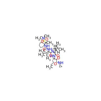 CCCC[C@H](NC(=O)[C@@H]1[C@@H]2[C@H](CN1C(=O)[C@@H](NC(=O)NC1([C@@H](C)S(=O)(=O)N(C)C)CCCCC1)C(C)(C)C)C2(C)C)C(=O)C(=O)NC1CC1